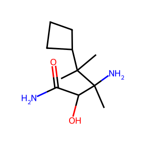 CC(C)(C1CCC1)C(C)(N)C(O)C(N)=O